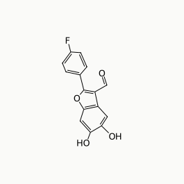 O=Cc1c(-c2ccc(F)cc2)oc2cc(O)c(O)cc12